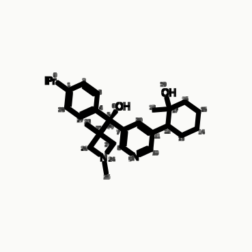 CC(C)c1ccc([C@](O)(c2cncc(C3CCCCC3(C)O)c2)C2(C)CN(C)C2)cc1